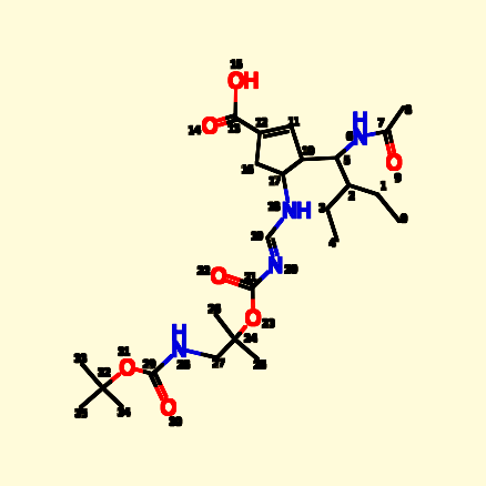 CCC(CC)C(NC(C)=O)C1C=C(C(=O)O)CC1NC=NC(=O)OC(C)(C)CNC(=O)OC(C)(C)C